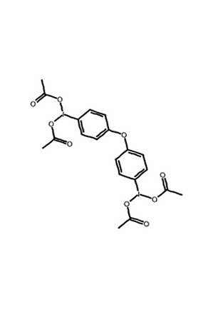 CC(=O)OI(OC(C)=O)c1ccc(Oc2ccc(I(OC(C)=O)OC(C)=O)cc2)cc1